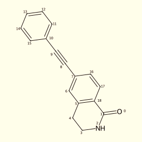 O=C1NCCc2cc(C#Cc3ccccc3)ccc21